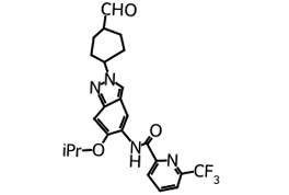 CC(C)Oc1cc2nn(C3CCC(C=O)CC3)cc2cc1NC(=O)c1cccc(C(F)(F)F)n1